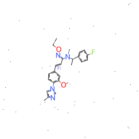 CCON=C(/C=C/c1ccc(-n2cnc(C)c2)c(OC)c1)N(C)C(C)c1ccc(F)cc1